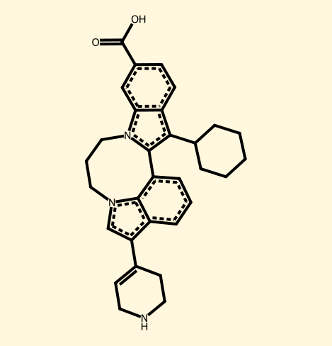 O=C(O)c1ccc2c(C3CCCCC3)c3n(c2c1)CCCn1cc(C2=CCNCC2)c2cccc-3c21